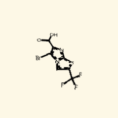 O=C(O)c1nc2sc(C(F)(F)F)cn2c1Br